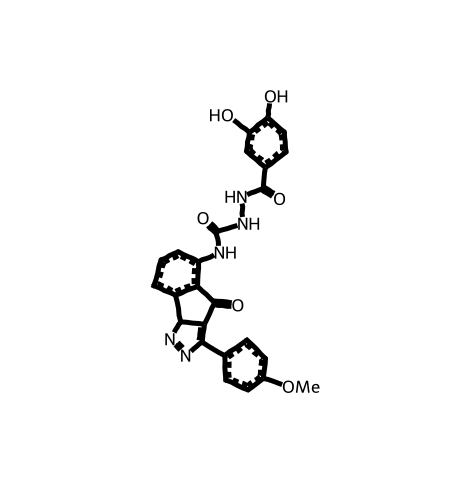 COc1ccc(C2=C3C(=O)c4c(NC(=O)NNC(=O)c5ccc(O)c(O)c5)cccc4C3N=N2)cc1